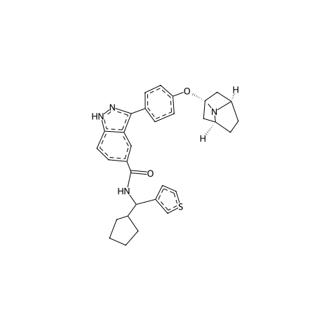 CN1[C@@H]2CC[C@H]1C[C@H](Oc1ccc(-c3n[nH]c4ccc(C(=O)NC(c5ccsc5)C5CCCC5)cc34)cc1)C2